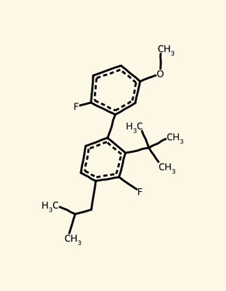 COc1ccc(F)c(-c2ccc(CC(C)C)c(F)c2C(C)(C)C)c1